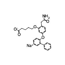 NC(=O)Cc1ccc(Oc2ccccc2-c2ccccc2)cc1OCCCCC(=O)[O-].[Na+]